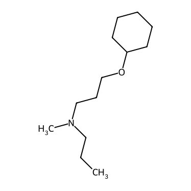 CCCN(C)CCCOC1CCCCC1